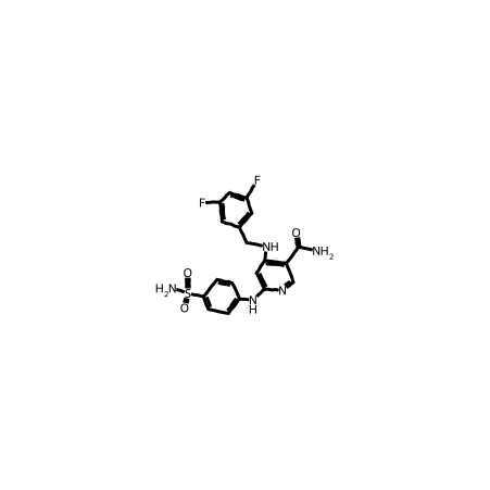 NC(=O)c1cnc(Nc2ccc(S(N)(=O)=O)cc2)cc1NCc1cc(F)cc(F)c1